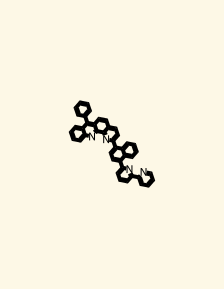 c1ccc(-c2c3ccccc3nc3c2ccc2ccc(-c4ccc(-c5cccc(-c6ccccn6)n5)c5ccccc45)nc23)cc1